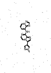 Cn1cc(-c2cnc3c(Nc4cccn5ncnc45)nccn23)cn1